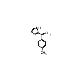 C=C(c1ccc(C)cc1)c1ncc[nH]1